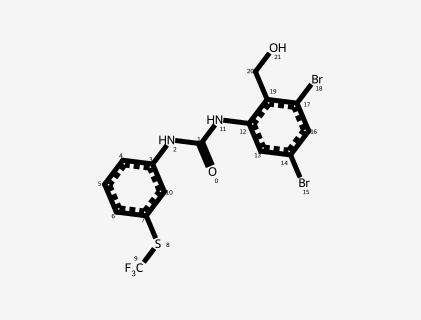 O=C(Nc1cccc(SC(F)(F)F)c1)Nc1cc(Br)cc(Br)c1CO